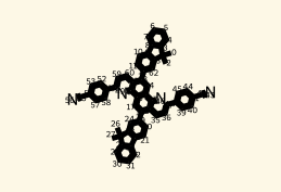 CC1(C)c2ccccc2-c2ccc(-c3cc4c(cc(-c5ccc6c(c5)C(C)(C)c5ccccc5-6)c5ccc(-c6ccc(C#N)cc6)nc54)c4nc(-c5ccc(C#N)cc5)ccc34)cc21